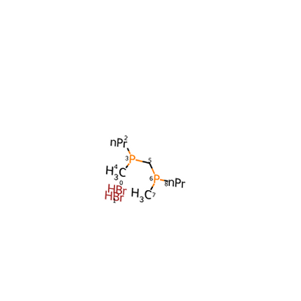 Br.Br.CCCP(C)CP(C)CCC